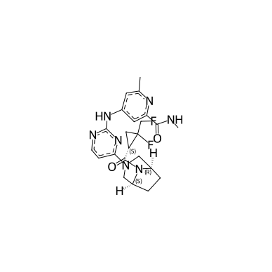 CNC(=O)c1cc(Nc2nccc(N3C[C@H]4CC[C@@H](C3)N4C(=O)[C@@H]3CC3(F)CF)n2)cc(C)n1